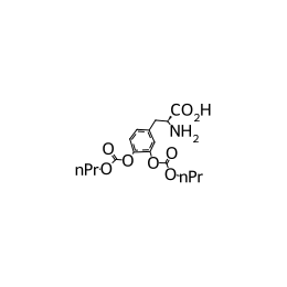 CCCOC(=O)Oc1ccc(C[C@H](N)C(=O)O)cc1OC(=O)OCCC